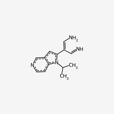 CC(C)n1c(/C(C=N)=C/N)cc2cnccc21